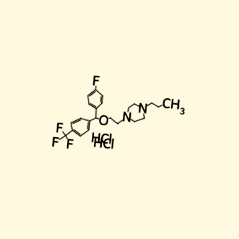 CCCN1CCN(CCOC(c2ccc(F)cc2)c2ccc(C(F)(F)F)cc2)CC1.Cl.Cl